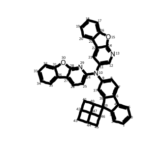 c1ccc2c(c1)-c1ccc(N(c3cnc4oc5ccccc5c4c3)c3ccc4c(n3)oc3ccccc34)cc1C21C2CC3CC4CC1C342